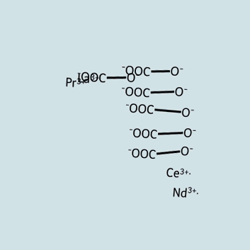 O=C([O-])[O-].O=C([O-])[O-].O=C([O-])[O-].O=C([O-])[O-].O=C([O-])[O-].O=C([O-])[O-].[Ce+3].[La+3].[Nd+3].[Pr+3]